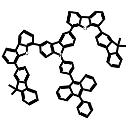 CC1(C)c2ccccc2-c2ccc(-c3cccc4c3oc3c(-c5ccc6c(c5)c5cc(-c7cccc8c7oc7c(-c9ccc%10c(c9)C(C)(C)c9ccccc9-%10)cccc78)ccc5n6-c5ccc(-c6c7ccccc7c(-c7ccccc7)c7ccccc67)cc5)cccc34)cc21